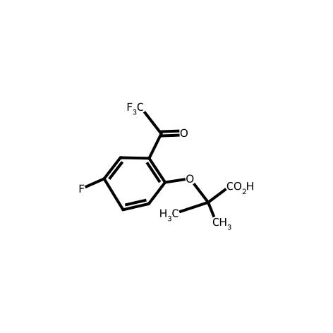 CC(C)(Oc1ccc(F)cc1C(=O)C(F)(F)F)C(=O)O